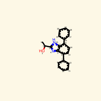 CC(O)c1nc2c(-c3ccccc3)ccc(-c3ccccc3)c2[nH]1